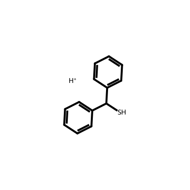 SC(c1ccccc1)c1ccccc1.[H+]